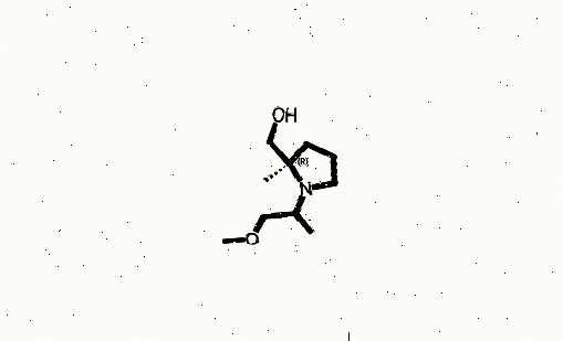 COCC(C)N1CCC[C@]1(C)CO